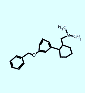 CN(C)CC1CCCCC1c1cccc(OCc2ccccc2)c1